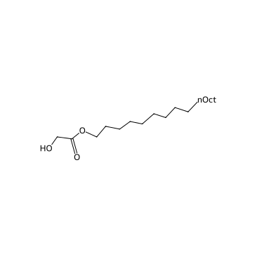 CCCCCCCCCCCCCCCCCOC(=O)CO